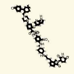 CC1(C)CCC(CN2CCN(c3ccc(C(=O)NS(=O)(=O)c4ccc(NC[C@H]5CC[C@H](NCCCc6cccc7c6CN(C6CCC(=O)NC6=O)C7=O)CC5)c([N+](=O)[O-])c4)c(Oc4cnc5[nH]ccc5c4)c3)CC2)=C(c2ccc(Cl)cc2)C1